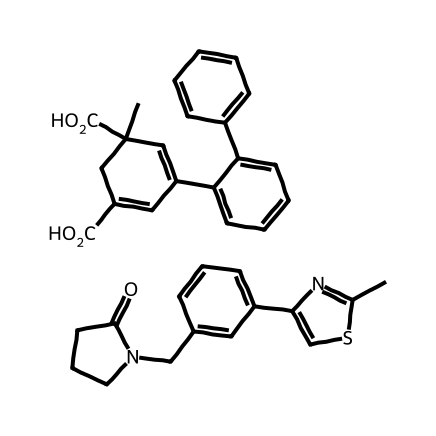 CC1(C(=O)O)C=C(c2ccccc2-c2ccccc2)C=C(C(=O)O)C1.Cc1nc(-c2cccc(CN3CCCC3=O)c2)cs1